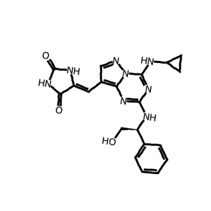 O=C1NC(=O)/C(=C/c2cnn3c(NC4CC4)nc(N[C@H](CO)c4ccccc4)nc23)N1